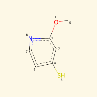 COc1cc(S)ccn1